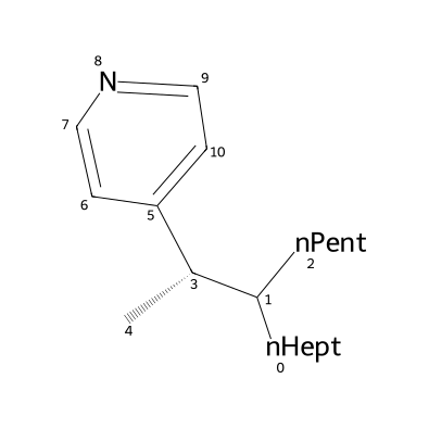 CCCCCCCC(CCCCC)[C@H](C)c1ccncc1